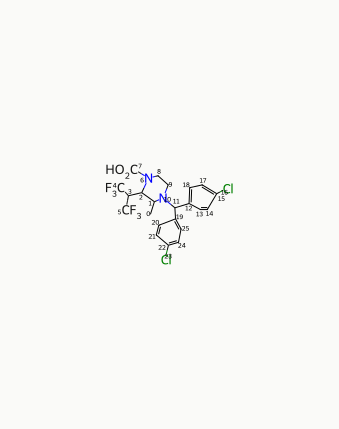 CC1C(C(C(F)(F)F)C(F)(F)F)N(C(=O)O)CCN1C(c1ccc(Cl)cc1)c1ccc(Cl)cc1